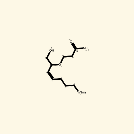 CCCCCCCCCCCC/C=C\C(CO)SCCC(N)=O